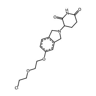 O=C1CCC(N2Cc3ccc(OCCOCCCl)cc3C2)C(=O)N1